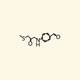 CSCC(=O)CNc1ccc(C=O)cc1